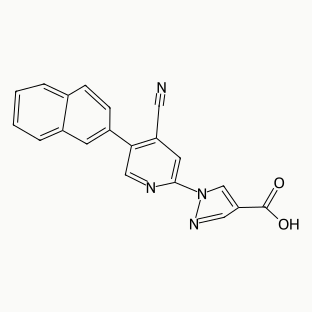 N#Cc1cc(-n2cc(C(=O)O)cn2)ncc1-c1ccc2ccccc2c1